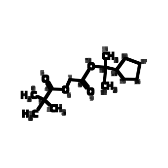 CC(C)(C)C(=O)OCC(=O)OC(C)(C)C1CCCC1